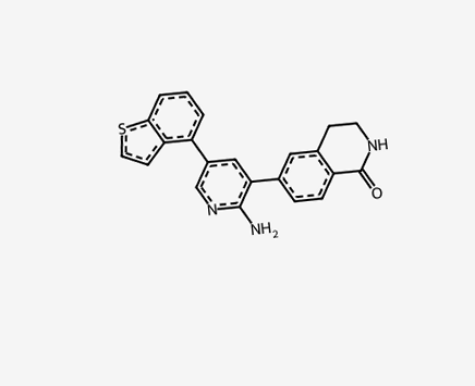 Nc1ncc(-c2cccc3sccc23)cc1-c1ccc2c(c1)CCNC2=O